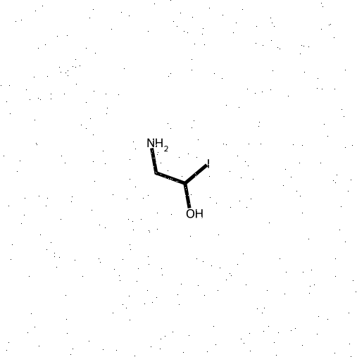 NCC(O)I